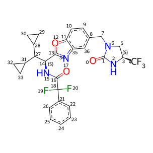 O=C1N[C@H](C(F)(F)F)CN1Cc1ccc2oc([C@@H](NC(=O)C(F)(F)c3ccccc3)C(C3CC3)C3CC3)nc2c1